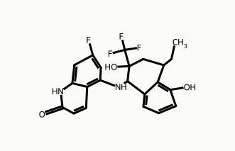 CCC1CC(O)(C(F)(F)F)C(Nc2cc(F)cc3[nH]c(=O)ccc23)c2cccc(O)c21